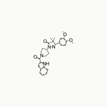 COc1ccc(C2=NN(C3CCN(C(=O)c4cc5ccccc5[nH]4)CC3)C(=O)C2(C)C)cc1OC